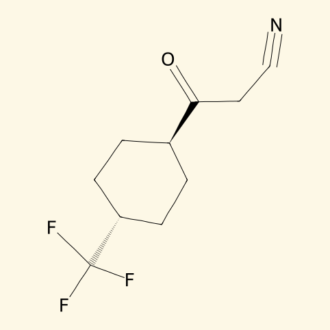 N#CCC(=O)[C@H]1CC[C@H](C(F)(F)F)CC1